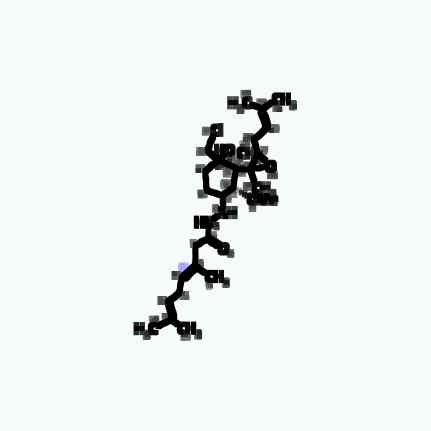 CO[C@@H]1C(NNC(=O)C/C(C)=C/CC=C(C)C)CCC(O)(CCl)[C@@]1(C)C1(C)OC1CC=C(C)C